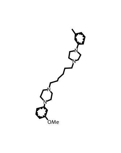 COc1cccc(N2CCN(CCCCCCN3CCN(c4cccc(C)c4)CC3)CC2)c1